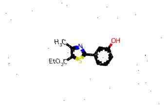 CCOC(=O)c1sc(-c2cccc(O)c2)nc1C